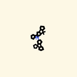 CC1(C)c2ccccc2-c2cc3c4ccccc4n(-c4ccc5c(c4)C4(CCCC4)c4ccccc4-5)c3cc21